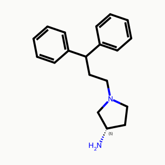 N[C@H]1CCN(CCC(c2ccccc2)c2ccccc2)C1